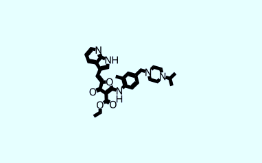 CCOC(=O)C1=C(Nc2ccc(CN3CCN(C(C)C)CC3)cc2C)O/C(=C\c2c[nH]c3ncccc23)C1=O